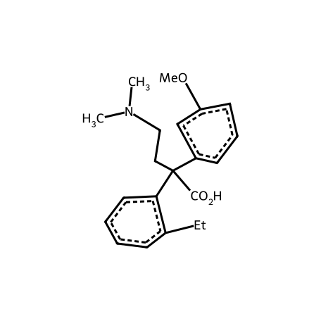 CCc1ccccc1C(CCN(C)C)(C(=O)O)c1cccc(OC)c1